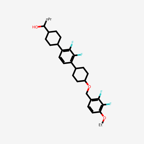 CCCC(O)C1CCC(c2ccc(C3CCC(OCc4ccc(OCC)c(F)c4F)CC3)c(F)c2F)CC1